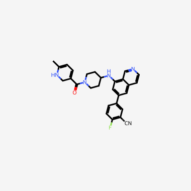 CC1=CC=C(C(=O)N2CCC(Nc3cc(-c4ccc(F)c(C#N)c4)cc4ccncc34)CC2)CN1